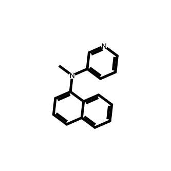 CN(c1cccnc1)c1cccc2ccccc12